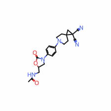 CC(=O)NCC1CN(c2ccc(N3CCC4(CC3)CC4(C#N)C#N)cc2)C(=O)O1